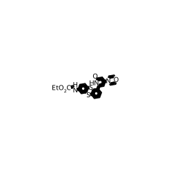 CCOC(=O)CNc1ccc2c(c1)Sc1cccc(-c3cc(N4CCOCC4)cc(=O)[nH]3)c1S2